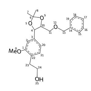 COc1cc(C2OC(C)(C)OC2COCc2ccccc2)ccc1CCO